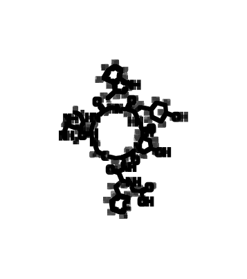 CCC(NC(=N)N)[C@@H]1NC(=O)[C@H](Cc2c[nH]c3ccccc23)NC(=O)[C@@H](CC2CCC(O)CC2)NC(=O)[C@@H]2C[C@@H](O)CN2C(=O)[C@@H](NC(=O)[C@H](Cc2ccccc2)NCC(=O)O)CCCNC1=O